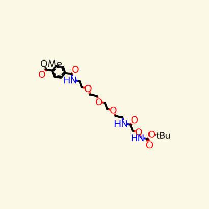 COC(=O)c1ccc(C(=O)NCCOCCOCCOCCNC(=O)CONC(=O)OC(C)(C)C)cc1